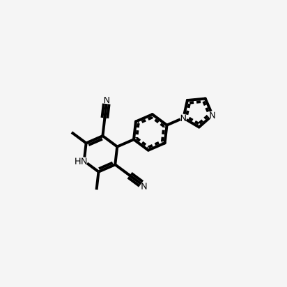 CC1=C(C#N)C(c2ccc(-n3ccnc3)cc2)C(C#N)=C(C)N1